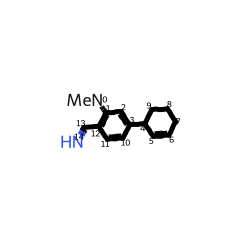 CNc1cc(C2C=CCCC2)ccc1C=N